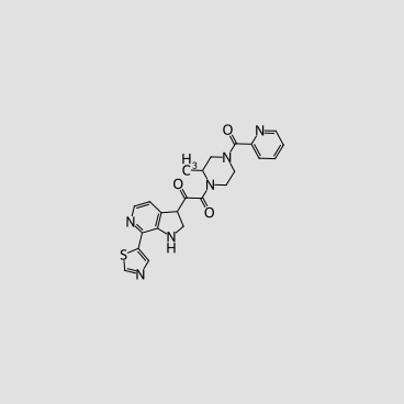 CC1CN(C(=O)c2ccccn2)CCN1C(=O)C(=O)C1CNc2c1ccnc2-c1cncs1